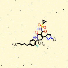 CCn1ccc(C2=C(C(=O)NS(=O)(=O)C3CC3)C(=O)N[C@](C)(c3ccc(CCCCC(F)(F)F)cc3F)C2)n1